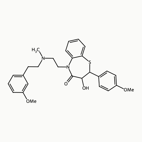 COc1ccc(C2Sc3ccccc3N(CCN(C)CCc3cccc(OC)c3)C(=O)C2O)cc1